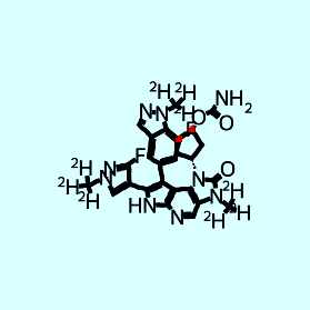 [2H]C([2H])([2H])n1cc(-c2[nH]c3ncc4c(c3c2-c2cc(F)c3c(cnn3C([2H])([2H])[2H])c2)n([C@@H]2CC[C@@H](OC(N)=O)C2)c(=O)n4C([2H])([2H])[2H])c(F)n1